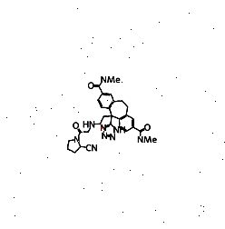 CNC(=O)c1ccc2c(c1)CCc1cc(C(=O)NC)ccc1C2(C[C@H](C)NCC(=O)N1CCCC1C#N)c1nnn[nH]1